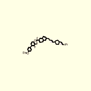 CCC/C=C/C1CCC(/C=C/CCc2ccc3cc(C(F)(F)Oc4ccc(-c5ccc(OCC)cc5)c(F)c4F)ccc3c2)CC1